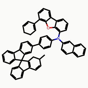 CC1C=CC2=C(C1)C1(c3ccccc32)c2ccccc2-c2ccc(-c3ccc(N(c4ccc5ccccc5c4)c4cccc5c4oc4c(C6=CCCC=C6)cccc45)cc3)cc21